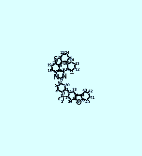 CC1(C)c2ccc(-c3nc(-c4ccccc4)c4c(ccc5sc6ccccc6c54)n3)cc2-c2cc3c(cc21)oc1ccccc13